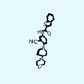 N#Cc1cc(NC(=O)c2cc3ccccc3s2)ccc1N1CCC(N2CCOCC2)CC1